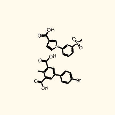 CS(=O)(=O)c1cccc(-n2ccc(C(=O)O)c2)c1.Cc1c(C(=O)O)cc(-c2ccc(Br)cc2)cc1C(=O)O